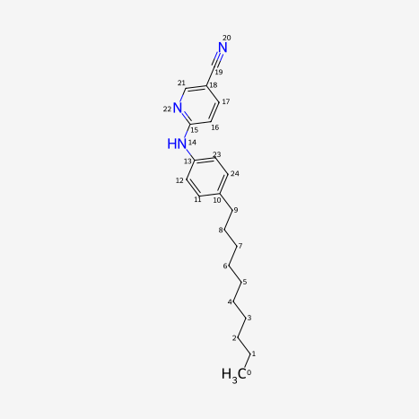 CCCCCCCCCCc1ccc(Nc2ccc(C#N)cn2)cc1